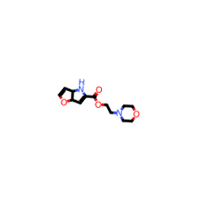 O=C(OCCN1CCOCC1)C1=CC2OC=CC2N1